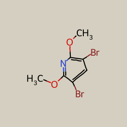 COc1nc(OC)c(Br)cc1Br